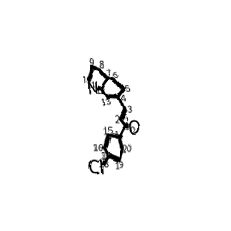 O=C(C=Cc1ccc2cccnc2c1)c1ccc(Cl)cc1